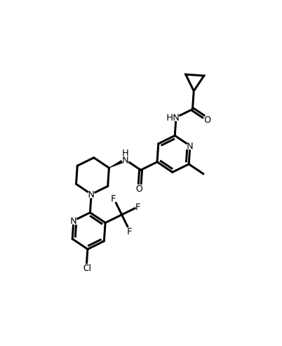 Cc1cc(C(=O)N[C@@H]2CCCN(c3ncc(Cl)cc3C(F)(F)F)C2)cc(NC(=O)C2CC2)n1